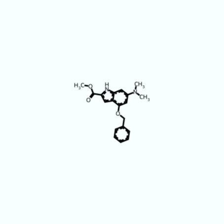 COC(=O)c1cc2c(OCc3ccccc3)cc(N(C)C)cc2[nH]1